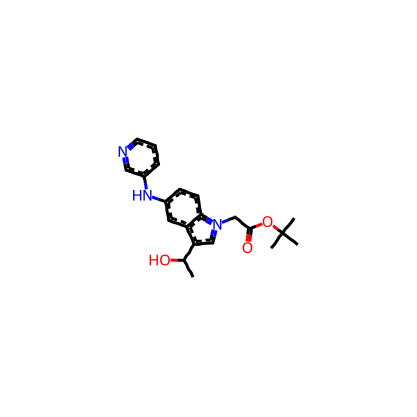 CC(O)c1cn(CC(=O)OC(C)(C)C)c2ccc(Nc3cccnc3)cc12